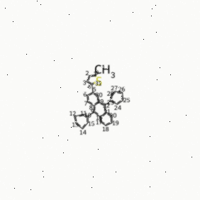 Cc1ccc(-c2ccc3c(-c4ccccc4)c4ccccc4c(-c4ccccc4)c3c2)s1